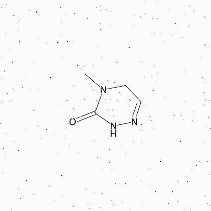 CN1CC=NNC1=O